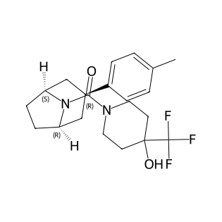 Cc1ccc([C@H]2C[C@H]3CC[C@@H](C2)N3C(=O)N2CCC(O)(C(F)(F)F)CC2)cc1